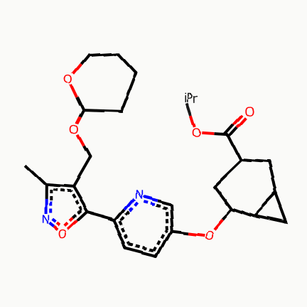 Cc1noc(-c2ccc(OC3CC(C(=O)OC(C)C)CC4CC43)cn2)c1COC1CCCCO1